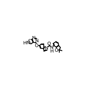 CC1(C)Cc2cccc(NC(=O)n3ccc4cc(Oc5ncnc6c5CNC6)ccc43)c2O1